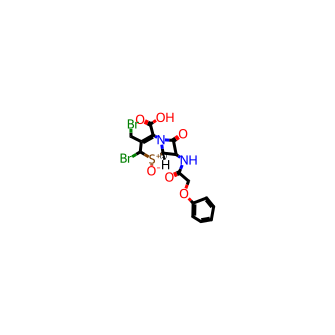 O=C(COc1ccccc1)NC1C(=O)N2C(C(=O)O)=C(CBr)C(Br)[S+]([O-])[C@@H]12